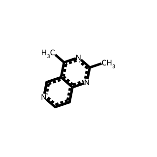 Cc1nc(C)c2cnccc2n1